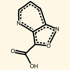 O=C(O)c1onc2cccnc12